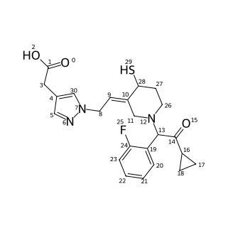 O=C(O)Cc1cnn(C/C=C2\CN(C(C(=O)C3CC3)c3ccccc3F)CCC2S)c1